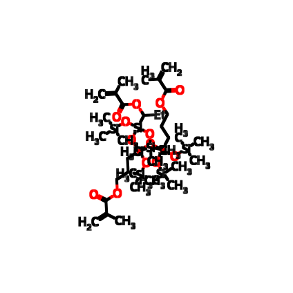 C=C(C)C(=O)OCCC[Si](O[Si](C)(C)C)(O[Si](C)(C)C)O[Si](CCCOC(=O)C(=C)C)(O[Si](C)(C)C)O[Si](O[Si](C)(C)C)(O[Si](C)(C)C)C(CC)OC(=O)C(=C)C